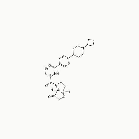 CC(C)C[C@H](NC(=O)c1ccc(C2CCN(C3CCC3)CC2)cc1)C(=O)N1CC[C@H]2OCC(=O)[C@H]21